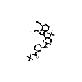 COCn1cc(-c2nc(NC3CCCN(C(=O)OC(C)(C)C)C3)ncc2C(F)(F)F)c2cccc(C#N)c21